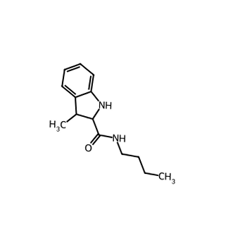 CCCCNC(=O)C1Nc2ccccc2C1C